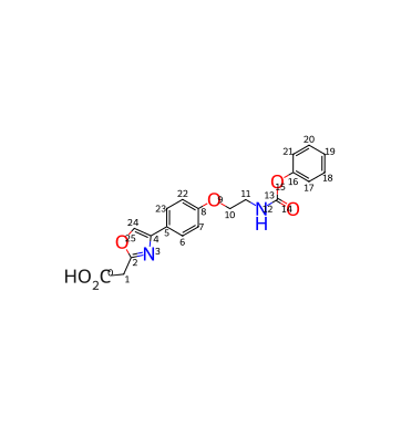 O=C(O)Cc1nc(-c2ccc(OCCNC(=O)Oc3ccccc3)cc2)co1